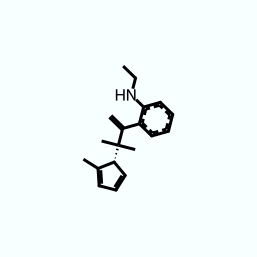 C=C(c1ccccc1NCC)C(C)(C)[C@@H]1C=CC=C1C